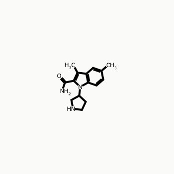 Cc1ccc2c(c1)c(C)c(C(N)=O)n2C1CCNC1